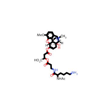 COc1ccc2c3c1O[C@H]1C(OC(=O)CC(OC(=O)CCNC(=O)C(CCCCN)NC(C)=O)C(=O)O)=CC[C@@]4(O)[C@@H](C2)N(C)CC[C@]314